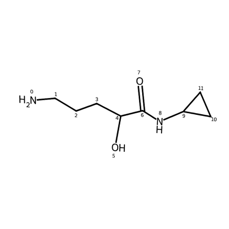 NCCCC(O)C(=O)NC1CC1